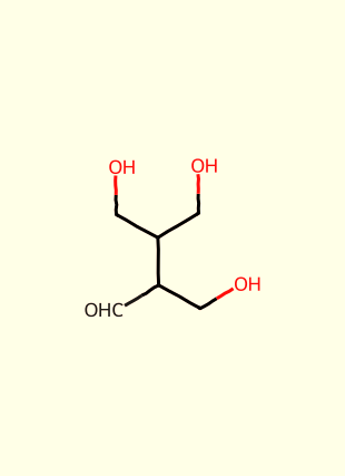 O=CC(CO)C(CO)CO